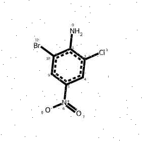 Nc1c(Cl)cc([N+](=O)[O-])cc1Br